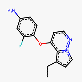 CCc1ccn2nccc(Oc3ccc(N)cc3F)c12